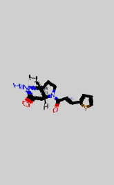 O=C1N[C@@H]2CCN(C(=O)/C=C/c3cccs3)[C@H]12